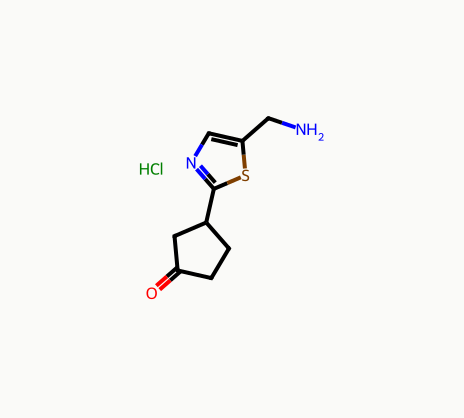 Cl.NCc1cnc(C2CCC(=O)C2)s1